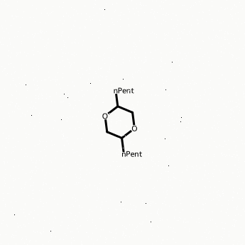 CCCCCC1COC(CCCCC)CO1